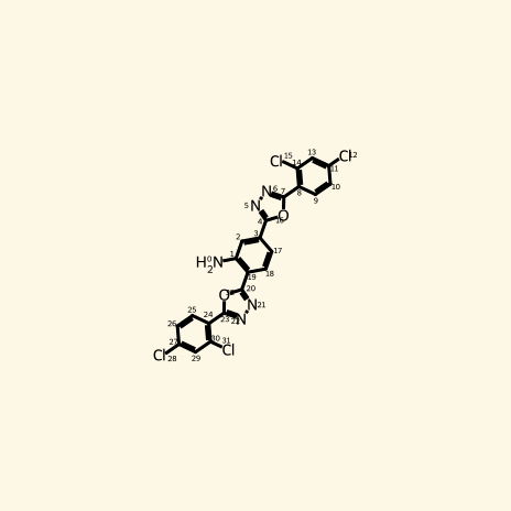 Nc1cc(-c2nnc(-c3ccc(Cl)cc3Cl)o2)ccc1-c1nnc(-c2ccc(Cl)cc2Cl)o1